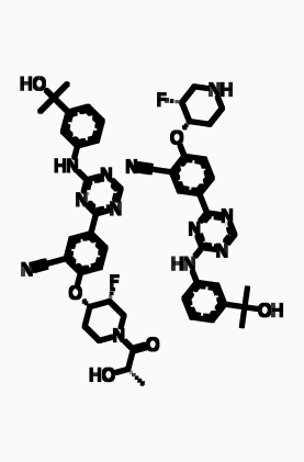 CC(C)(O)c1cccc(Nc2ncnc(-c3ccc(O[C@H]4CCNC[C@H]4F)c(C#N)c3)n2)c1.C[C@H](O)C(=O)N1CC[C@H](Oc2ccc(-c3ncnc(Nc4cccc(C(C)(C)O)c4)n3)cc2C#N)[C@H](F)C1